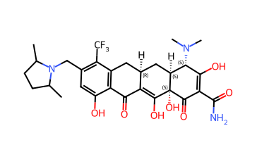 CC1CCC(C)N1Cc1cc(O)c2c(c1C(F)(F)F)C[C@H]1C[C@H]3[C@H](N(C)C)C(O)=C(C(N)=O)C(=O)[C@@]3(O)C(O)=C1C2=O